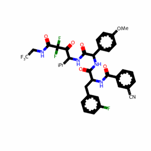 COc1ccc(C(NC(=O)C(Cc2cccc(F)c2)NC(=O)c2cccc(C#N)c2)C(=O)NC(C(=O)C(F)(F)C(=O)NCC(F)(F)F)C(C)C)cc1